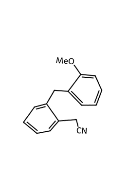 COc1ccccc1Cc1ccccc1CC#N